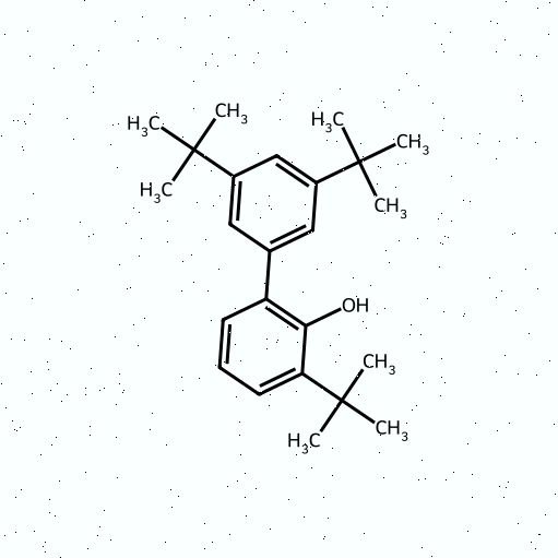 CC(C)(C)c1cc(-c2cccc(C(C)(C)C)c2O)cc(C(C)(C)C)c1